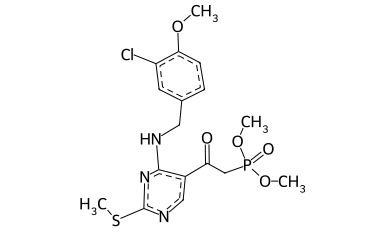 COc1ccc(CNc2nc(SC)ncc2C(=O)CP(=O)(OC)OC)cc1Cl